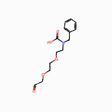 O=CCOCCOCCN(Cc1ccccc1)C(=O)O